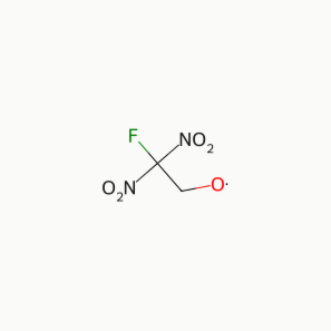 [O]CC(F)([N+](=O)[O-])[N+](=O)[O-]